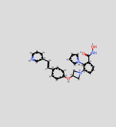 O=C(NO)c1cccc(N2CC(Oc3ccc(C=Cc4cccnc4)cc3)C2)c1-n1cccc1